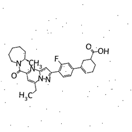 CCc1cc(C(=O)N2CCCCC[C@H]2C)nc2cc(-c3ccc(C4=CCCC(C(=O)O)C4)cc3F)nn12